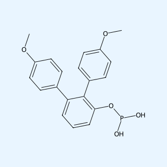 COc1ccc(-c2cccc(OP(O)O)c2-c2ccc(OC)cc2)cc1